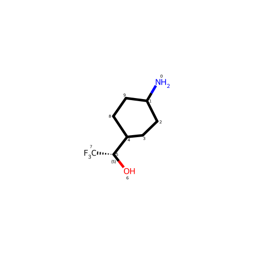 NC1CCC([C@H](O)C(F)(F)F)CC1